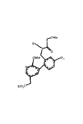 CCOC(=O)Cc1cnc(OC)c(-c2ccc(C(F)(F)F)cc2CN(CC)C(=O)COC)c1